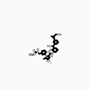 Cc1c(C(F)(F)F)cc(C(=O)Nc2cccc(C(O)c3cccc(C4CC4CO)c3)c2F)n1-c1cccc(CNC(=O)OC(C)(C)C)c1